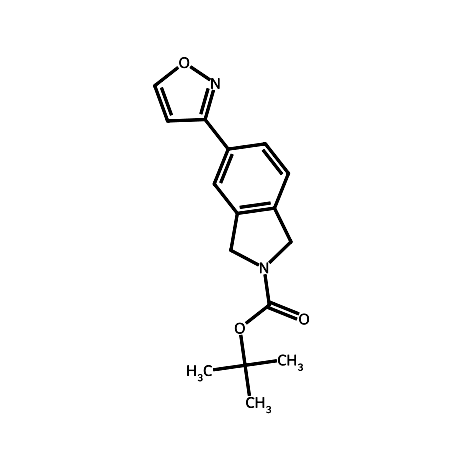 CC(C)(C)OC(=O)N1Cc2ccc(-c3ccon3)cc2C1